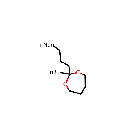 CCCCCCCCCCCCC1(CCCC)OCCCCO1